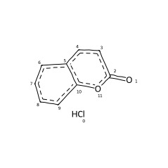 Cl.O=c1ccc2ccccc2o1